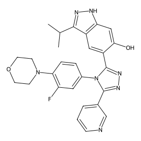 CC(C)c1n[nH]c2cc(O)c(-c3nnc(-c4cccnc4)n3-c3ccc(N4CCOCC4)c(F)c3)cc12